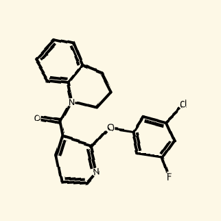 O=C(c1cccnc1Oc1cc(F)cc(Cl)c1)N1CCCc2ccccc21